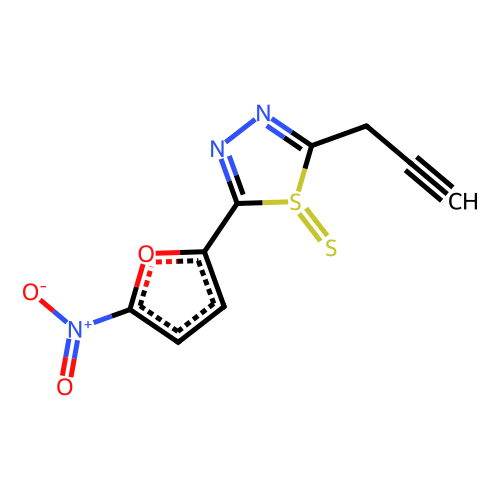 C#CCC1=NN=C(c2ccc([N+](=O)[O-])o2)S1=S